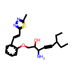 CCC(C#CC(N)C(O)COc1ccccc1C=Cc1nnc(C)s1)CC